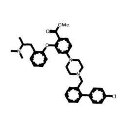 COC(=O)c1ccc(N2CCN(Cc3ccccc3-c3ccc(Cl)cc3)CC2)cc1Oc1ccccc1CC(C)N(C)C